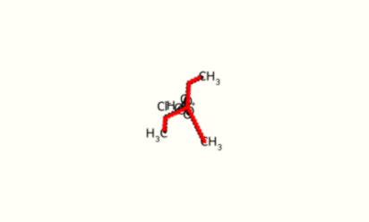 CCCCCCCCC=CCCCCCCCC(=O)OCC[N+](C)(CCOC(=O)CCCCCCC/C=C\CCCCCCCC)CCOC(=O)CCCCCCC/C=C\CCCCCCCC.[Cl-]